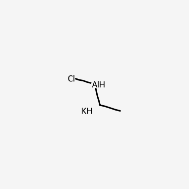 C[CH2][AlH][Cl].[KH]